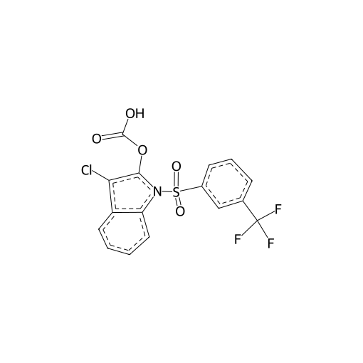 O=C(O)Oc1c(Cl)c2ccccc2n1S(=O)(=O)c1cccc(C(F)(F)F)c1